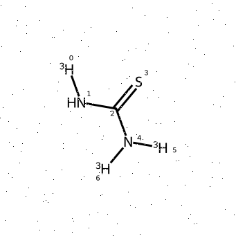 [3H]NC(=S)N([3H])[3H]